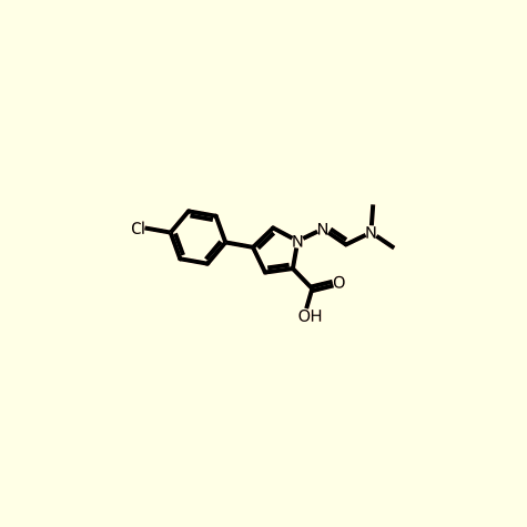 CN(C)C=Nn1cc(-c2ccc(Cl)cc2)cc1C(=O)O